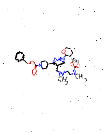 CN(CCN(C)C(=O)OC(C)(C)C)Cc1cn(C2CCCCO2)nc1C1=CCN(C(=O)OCc2ccccc2)CC1